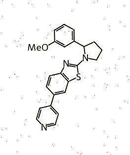 COc1cccc(C2CCCN2c2nc3ccc(-c4ccncc4)cc3s2)c1